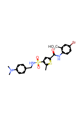 Cc1sc(C(=O)Nc2ccc(Br)cc2C(=O)O)cc1S(=O)(=O)NCc1ccc(N(C)C)cc1